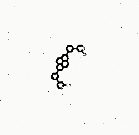 N#Cc1cc(-c2cccc(-c3cc4ccc5cc(-c6cccc(-c7ccnc(C#N)c7)c6)cc6ccc(c3)c4c56)c2)ccn1